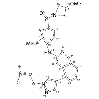 COc1cc(C(=O)N2CC(OC)C2)ccc1Nc1cc2c(-c3cnn(CCN(C)C)c3)cccc2cn1